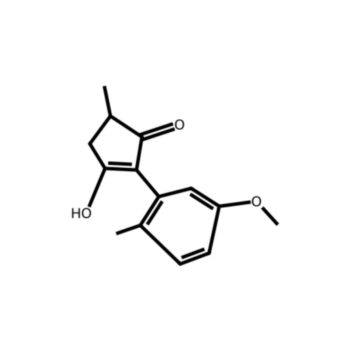 COc1ccc(C)c(C2=C(O)CC(C)C2=O)c1